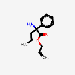 C=CCOC(=O)C(N)(CCC)c1ccccc1